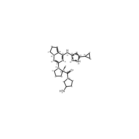 C[C@@]1(C(=O)N2CCC(N)C2)CCCN1C1=NN2CCC=C2C(Nc2cc(C3CC3)[nH]n2)=N1